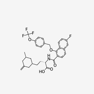 C=C1CC(C)CC(CC[C@H](NC(=O)c2ccc3cc(F)ccc3c2OCc2ccc(OC(F)(F)F)cc2)C(=O)O)C1